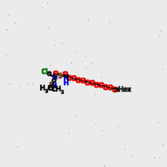 CCCCCCOCCOCCOCCOCCOCCOCCOCCOCCOCCOCCOCNC(=O)CCSCC1CN(C2CCC(c3nc(C)c(C)s3)CC2)C(Cc2ccc(Cl)cc2)CO1